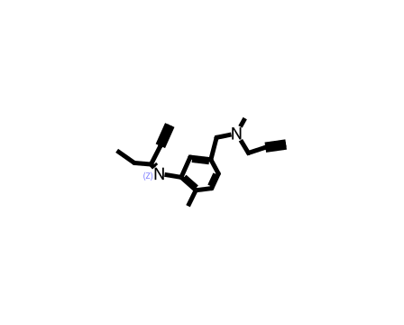 C#CCN(C)Cc1ccc(C)c(/N=C(\C#C)CC)c1